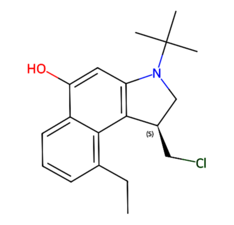 CCc1cccc2c(O)cc3c(c12)[C@H](CCl)CN3C(C)(C)C